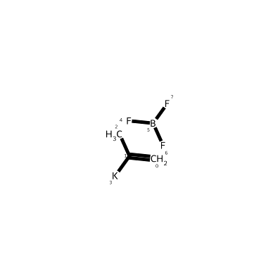 C=[C](C)[K].FB(F)F